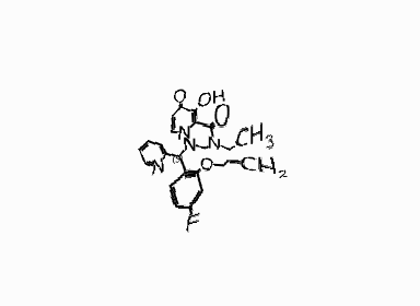 C=CCOc1cc(F)ccc1[C@@H](c1ccccn1)N1CN(CC)C(=O)c2c(O)c(=O)ccn21